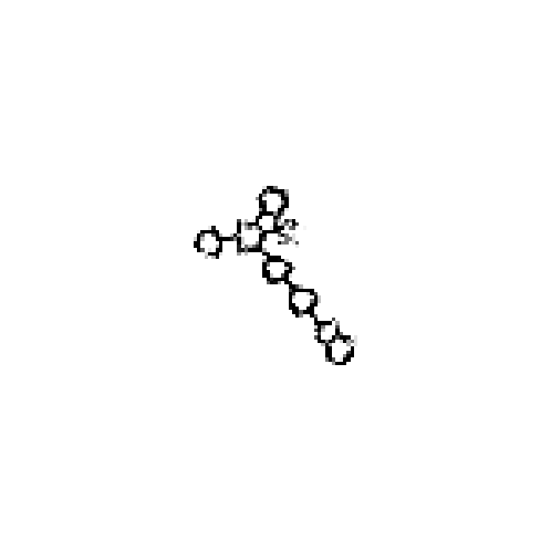 CC1(C)c2ccccc2-c2nc(-c3cccnc3)nc(-c3ccc(-c4ccc(-c5nc6cccnc6s5)cc4)cc3)c21